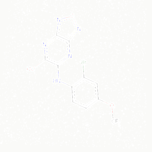 Oc1nc2nonc2nc1Nc1ccc(OC(F)(F)F)cc1Br